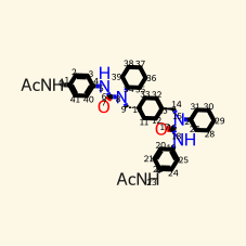 CC(=O)Nc1ccc(NC(=O)N(C[C@H]2CC[C@H](CN(C(=O)Nc3ccc(NC(C)=O)cc3)C3CCCCC3)CC2)C2CCCCC2)cc1